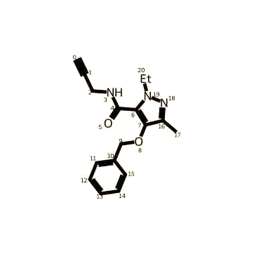 C#CCNC(=O)c1c(OCc2ccccc2)c(C)nn1CC